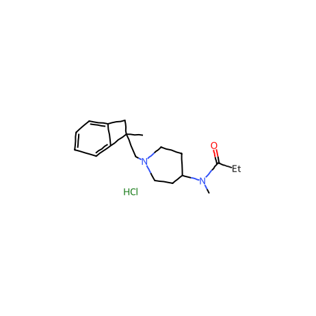 CCC(=O)N(C)C1CCN(CC2(C)Cc3ccccc32)CC1.Cl